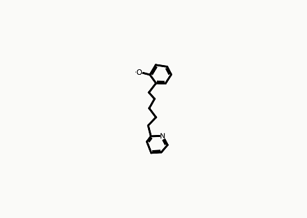 [O]c1ccccc1CCCCCc1ccccn1